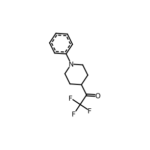 O=C(C1CCN(c2ccccc2)CC1)C(F)(F)F